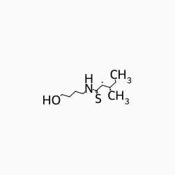 CC[C@@H](C)[CH]C(=S)NCCCCO